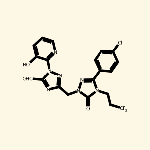 O=Cc1nc(Cn2nc(-c3ccc(Cl)cc3)n(CCC(F)(F)F)c2=O)nn1-c1ncccc1O